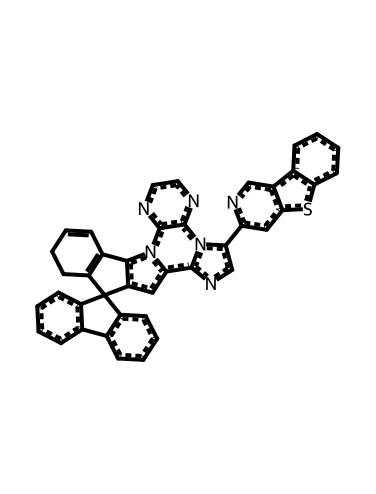 C1=CC2=C(CC1)C1(c3ccccc3-c3ccccc31)c1cc3c4ncc(-c5cc6sc7ccccc7c6cn5)n4c4nccnc4n3c12